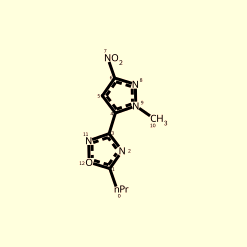 CCCc1nc(-c2cc([N+](=O)[O-])nn2C)no1